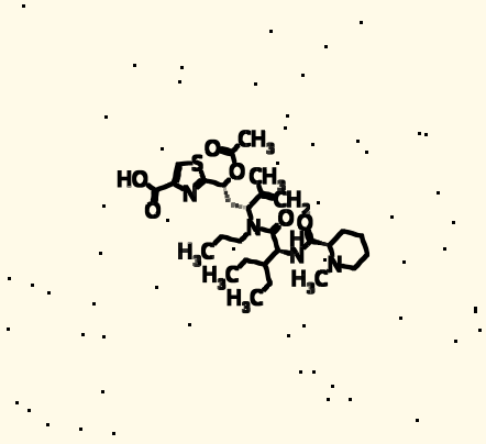 C=C(C)[C@@H](C[C@@H](OC(C)=O)c1nc(C(=O)O)cs1)N(CCC)C(=O)[C@@H](NC(=O)[C@H]1CCCCN1C)C(CC)CC